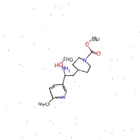 COc1ccc(C(N)CC2CCN(C(=O)OC(C)(C)C)CC2)cn1.O=CO